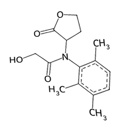 Cc1ccc(C)c(N(C(=O)CO)C2CCOC2=O)c1C